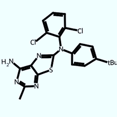 Cc1nc(N)c2nc(N(c3ccc(C(C)(C)C)cc3)c3c(Cl)cccc3Cl)sc2n1